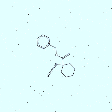 O=C=NC1(C(=O)OCc2ccccc2)CCCCC1